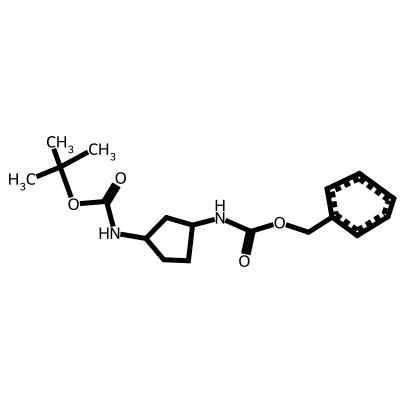 CC(C)(C)OC(=O)NC1CCC(NC(=O)OCc2ccccc2)C1